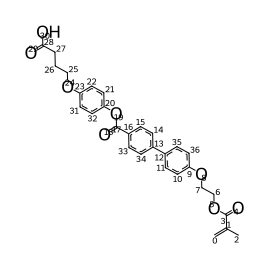 C=C(C)C(=O)OCCOc1ccc(-c2ccc(C(=O)Oc3ccc(OCCCC(=O)O)cc3)cc2)cc1